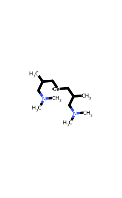 CC([CH2][Ge][CH2]C(C)CN(C)C)CN(C)C